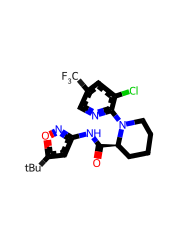 CC(C)(C)c1cc(NC(=O)[C@@H]2CCCCN2c2ncc(C(F)(F)F)cc2Cl)no1